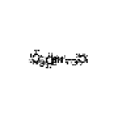 c1ccc(OCCCNCc2ccc(Oc3ccccc3)cc2)cc1